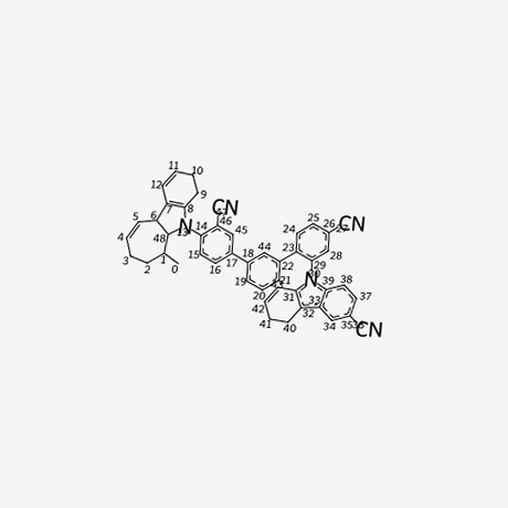 CC1CCC=CC2C3=C(CCC=C3)N(c3ccc(-c4cccc(-c5ccc(C#N)cc5-n5c6c(c7cc(C#N)ccc75)CCC=C6)c4)cc3C#N)C12